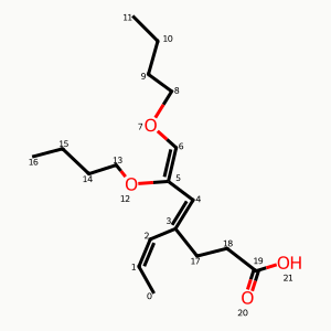 C\C=C/C(=C\C(=C\OCCCC)OCCCC)CCC(=O)O